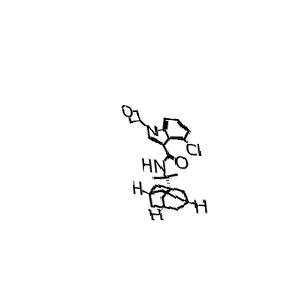 CC(C)(NC(=O)c1cn(C2COC2)c2cccc(Cl)c12)[C@]12C[C@H]3C[C@H](C[C@H](C3)C1)C2